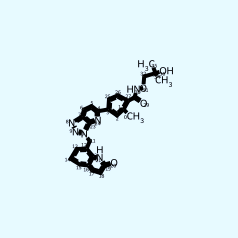 Cc1cc(-c2ccc3nnn(Cc4cccc5ccc(=O)[nH]c45)c3n2)ccc1C(=O)NOCC(C)(C)O